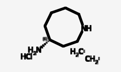 Cl.N[C@@H]1CCCCNCC1.[CH2].[CH2]